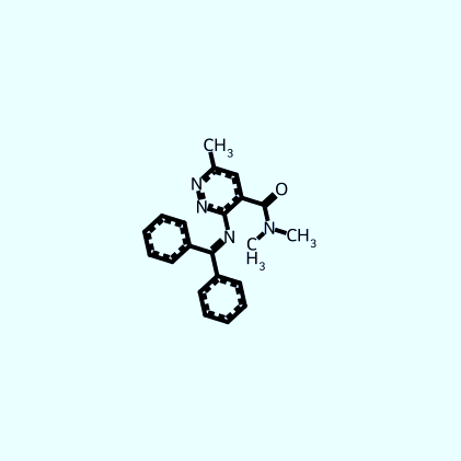 Cc1cc(C(=O)N(C)C)c(N=C(c2ccccc2)c2ccccc2)nn1